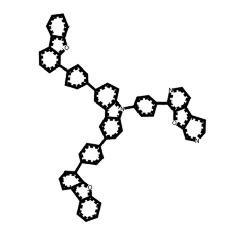 c1ccc2c(c1)oc1c(-c3ccc(-c4ccc5c(c4)c4cc(-c6ccc(-c7cccc8c7oc7ccccc78)cc6)ccc4n5-c4ccc(-c5nccc6c5oc5cnccc56)cc4)cc3)cccc12